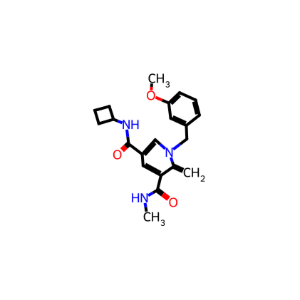 C=C1C(C(=O)NC)=CC(C(=O)NC2CCC2)=CN1Cc1cccc(OC)c1